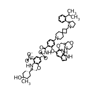 CC(C)c1ccccc1[C@H]1CCCN1C1CC2(CCN(c3ccc(C(=O)NS(=O)(=O)c4cc5c(c([N+](=O)[O-])c4)N[C@@H]([C@H]4CC[C@](C)(O)CC4)CO5)c(Oc4cc5cc[nH]c5nc4OC[C@H]4COCCN4)c3)CC2)C1